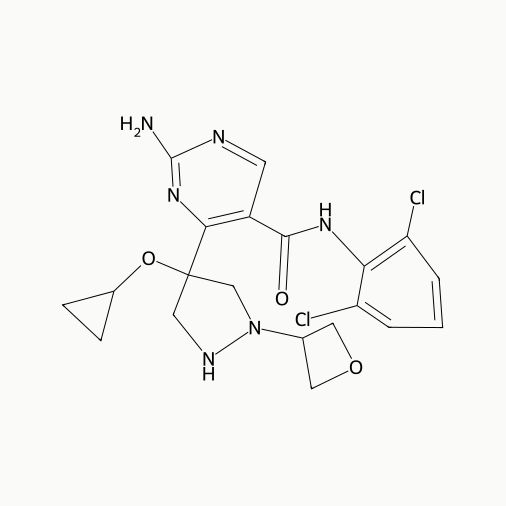 Nc1ncc(C(=O)Nc2c(Cl)cccc2Cl)c(C2(OC3CC3)CNN(C3COC3)C2)n1